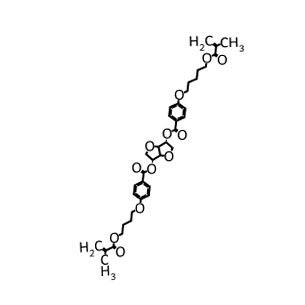 C=C(C)C(=O)OCCCCCOc1ccc(C(=O)O[C@@H]2COC3C2OC[C@H]3OC(=O)c2ccc(OCCCCOC(=O)C(=C)C)cc2)cc1